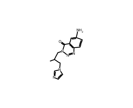 CC(Cn1ccnc1)Cn1nnc2ccc(N)cc2c1=O